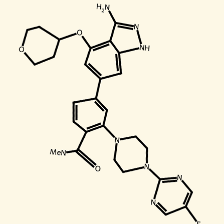 CNC(=O)c1ccc(-c2cc(OC3CCOCC3)c3c(N)n[nH]c3c2)cc1N1CCN(c2ncc(F)cn2)CC1